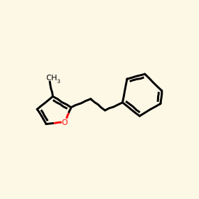 Cc1ccoc1CCc1ccccc1